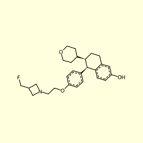 Oc1ccc2c(c1)CC[C@H](C1CCOCC1)[C@@H]2c1ccc(OCCN2CC(CF)C2)cc1